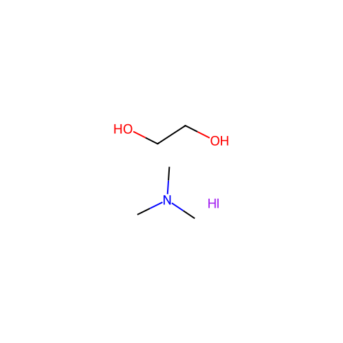 CN(C)C.I.OCCO